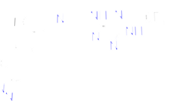 Cc1c(CN2CCC(Nc3ncnc4[nH]c(CC(F)(F)F)nc34)CC2)ccc2c1C=C(C#N)C2Cc1cn[nH]c1